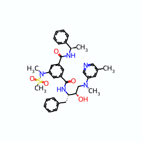 Cc1cncc(N(C)C[C@@H](O)[C@H](Cc2ccccc2)NC(=O)c2cc(C(=O)N[C@H](C)c3ccccc3)cc(N(C)S(C)(=O)=O)c2)c1